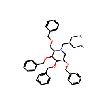 CCC(CC)CN1CC(OCc2ccccc2)C(OCc2ccccc2)C(OCc2ccccc2)C1COCc1ccccc1